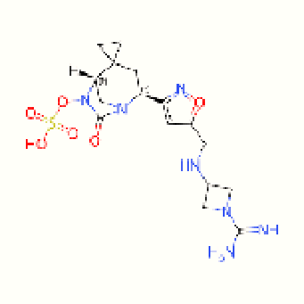 N=C(N)N1CC(NCc2cc([C@@H]3CC4(CC4)[C@@H]4CN3C(=O)N4OS(=O)(=O)O)no2)C1